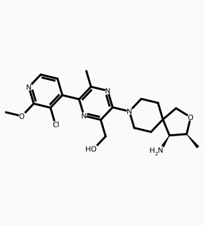 COc1nccc(-c2nc(CO)c(N3CCC4(CC3)CO[C@@H](C)[C@H]4N)nc2C)c1Cl